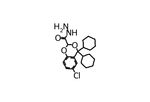 NNC(=O)C1Oc2ccc(Cl)cc2C(C2CCCCC2)(C2CCCCC2)O1